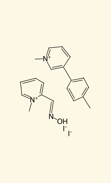 C[n+]1ccccc1C=NO.Cc1ccc(-c2ccc[n+](C)c2)cc1.[I-].[I-]